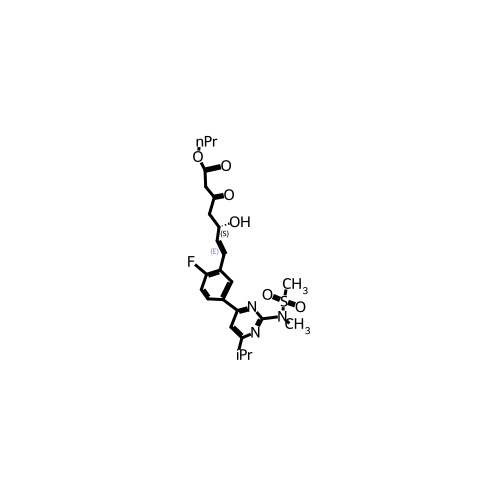 CCCOC(=O)CC(=O)C[C@H](O)/C=C/c1cc(-c2cc(C(C)C)nc(N(C)S(C)(=O)=O)n2)ccc1F